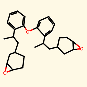 CC(CC1CCC2OC2C1)c1ccccc1Oc1ccccc1C(C)CC1CCC2OC2C1